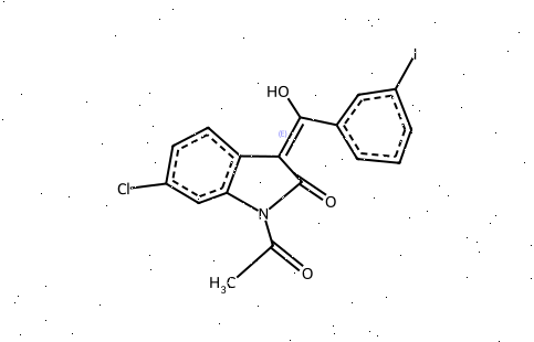 CC(=O)N1C(=O)/C(=C(/O)c2cccc(I)c2)c2ccc(Cl)cc21